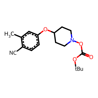 Cc1cc(OC2CCN(OC(=O)OC(C)(C)C)CC2)ccc1C#N